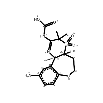 CC1(C)C(NC(=O)O)=N[C@]2(C)c3cc(N)ccc3OCC[C@H]2S1(=O)=O